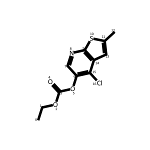 CCOC(=O)Oc1cnc2sc(C)cc2c1Cl